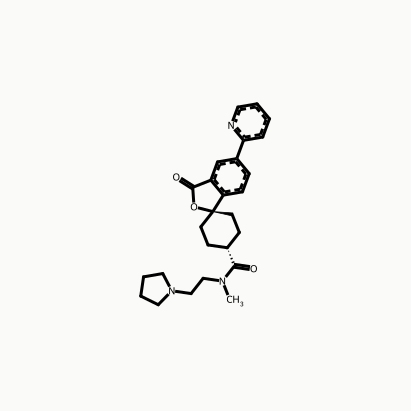 CN(CCN1CCCC1)C(=O)[C@H]1CC[C@@]2(CC1)OC(=O)c1cc(-c3ccccn3)ccc12